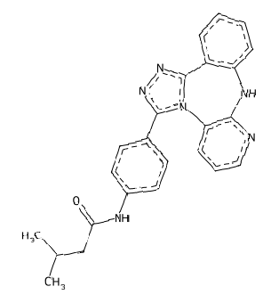 CC(C)CC(=O)Nc1ccc(-c2nnc3n2-c2cccnc2Nc2ccccc2-3)cc1